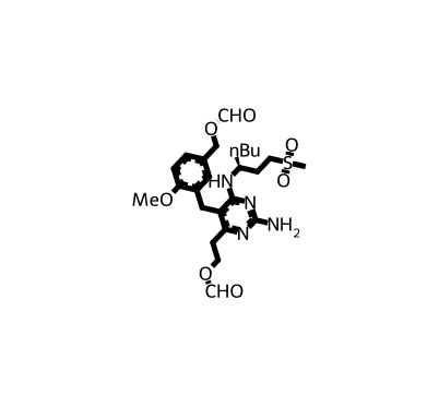 CCCC[C@@H](CCS(C)(=O)=O)Nc1nc(N)nc(CCOC=O)c1Cc1cc(COC=O)ccc1OC